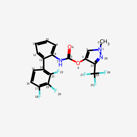 Cn1cc(OC(=O)Nc2ccccc2-c2ccc(F)c(F)c2F)c(C(F)(F)F)n1